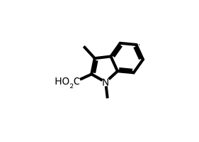 Cc1c(C(=O)O)n(C)c2cc[c]cc12